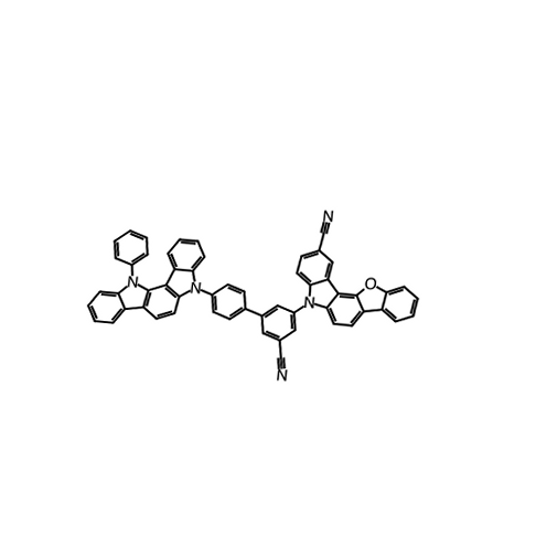 N#Cc1cc(-c2ccc(-n3c4ccccc4c4c3ccc3c5ccccc5n(-c5ccccc5)c34)cc2)cc(-n2c3ccc(C#N)cc3c3c4oc5ccccc5c4ccc32)c1